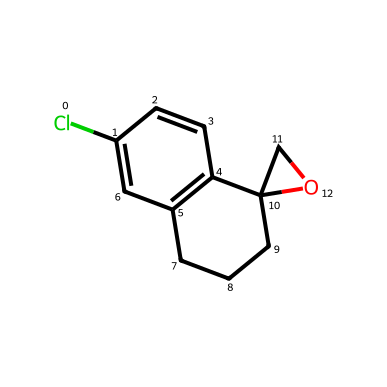 Clc1ccc2c(c1)CCCC21CO1